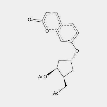 CC(=O)C[C@@H]1C[C@@H](Oc2ccc3ccc(=O)oc3c2)C[C@@H]1OC(C)=O